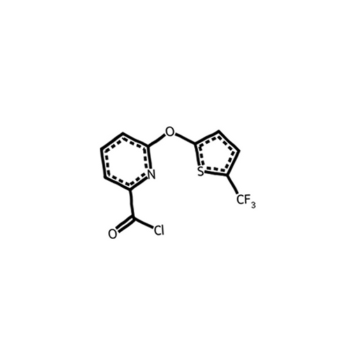 O=C(Cl)c1cccc(Oc2ccc(C(F)(F)F)s2)n1